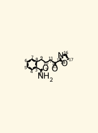 NC(=O)c1ccccc1CC[CH]C(=O)c1ncco1